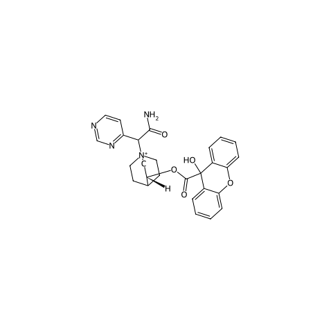 NC(=O)C(c1ccncn1)[N+]12CCC(CC1)[C@@H](OC(=O)C1(O)c3ccccc3Oc3ccccc31)C2